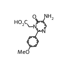 COc1ccc(-c2ncc(N)c(=O)n2CC(=O)O)cc1